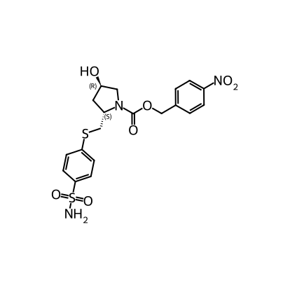 NS(=O)(=O)c1ccc(SC[C@@H]2C[C@@H](O)CN2C(=O)OCc2ccc([N+](=O)[O-])cc2)cc1